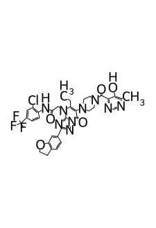 CCc1c(N2CCN(C(=O)c3ncnc(C)c3O)CC2)c(=O)n2nc(-c3ccc4c(c3)OCC4)nc2n1CC(=O)Nc1ccc(C(F)(F)F)cc1Cl